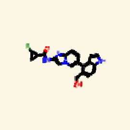 O=C(Nc1cn2cc(-c3c(CO)ccc4[nH]ccc34)ccc2n1)C1CC1F